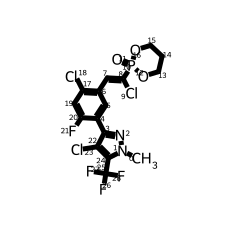 Cn1nc(-c2cc(C=C(Cl)P3(=O)OCCCO3)c(Cl)cc2F)c(Cl)c1C(F)(F)F